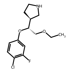 CCOC[C@H](Oc1ccc(Cl)c(F)c1)[C@H]1CCNC1